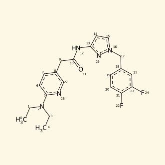 CCN(CC)c1ccc(CC(=O)Nc2ccn(Cc3ccc(F)c(F)c3)n2)cn1